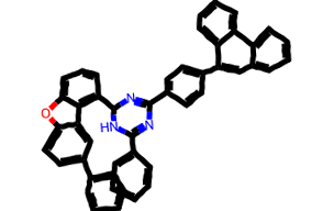 c1ccc(C2=NC(c3ccc(-c4cc5ccccc5c5ccccc45)cc3)=NC(c3cccc4oc5ccc(-c6ccccc6)cc5c34)N2)cc1